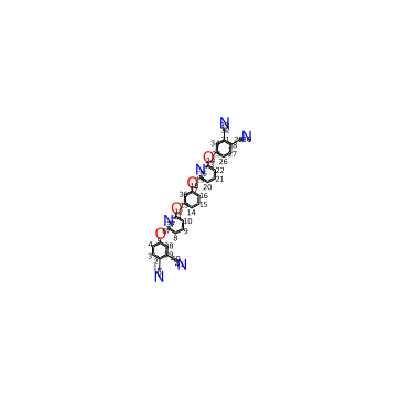 N#Cc1ccc(Oc2cccc(Oc3cccc(Oc4cccc(Oc5ccc(C#N)c(C#N)c5)n4)c3)n2)cc1C#N